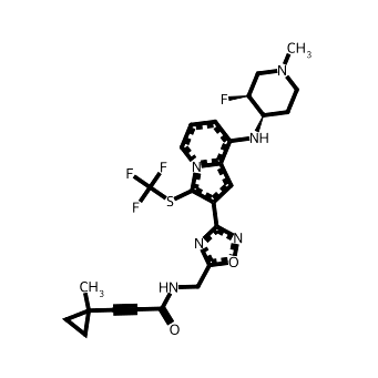 CN1CC[C@@H](Nc2cccn3c(SC(F)(F)F)c(-c4noc(CNC(=O)C#CC5(C)CC5)n4)cc23)[C@@H](F)C1